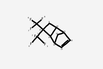 FC(F)(F)C1(C(F)(F)F)CC2C3C=CC(C3)C21